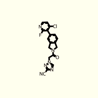 N#Cc1ncn(CC(=O)N2Cc3ccc(-c4c(Cl)ccnc4F)cc3C2)n1